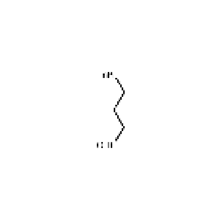 [CH2]CCCCC[C]=O